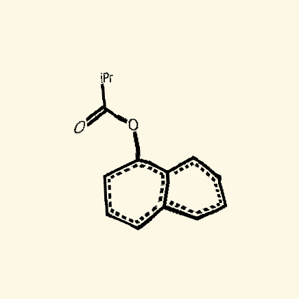 CC(C)C(=O)Oc1cccc2ccccc12